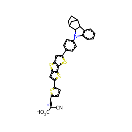 N#C/C(=C\c1ccc(-c2cc3sc4cc(-c5ccc(N6c7ccccc7C7C8CCC(C8)C76)cc5)sc4c3s2)s1)C(=O)O